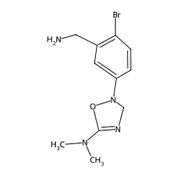 CN(C)C1=NCN(c2ccc(Br)c(CN)c2)O1